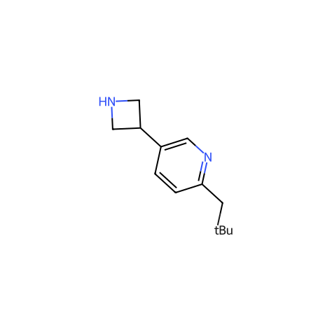 CC(C)(C)Cc1ccc(C2CNC2)cn1